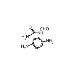 NC(=O)NC=O.Nc1ccc(N)cc1